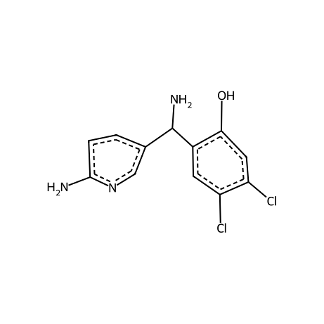 Nc1ccc(C(N)c2cc(Cl)c(Cl)cc2O)cn1